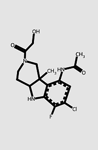 CC(=O)Nc1cc(Cl)c(F)c2c1C1(C)CN(C(=O)CO)CCC1N2